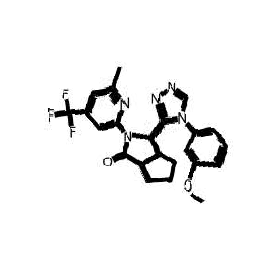 COc1cccc(-n2cnnc2C2C3CCCC3C(=O)N2c2cc(C(F)(F)F)cc(C)n2)c1